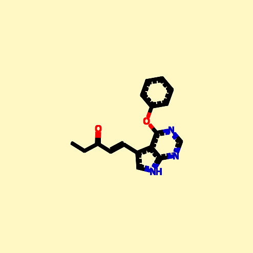 CCC(=O)C=Cc1c[nH]c2ncnc(Oc3ccccc3)c12